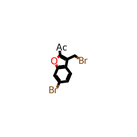 CC(=O)c1oc2cc(Br)ccc2c1CBr